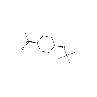 CC(=O)[C@H]1CC[C@@H](OC(C)(C)C)CC1